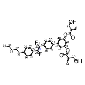 C=C(CO)C(=O)Oc1cc(OC(=O)C(=C)CO)cc(-c2ccc(/C(F)=C(\F)c3ccc(CCCCC)cc3)cc2)c1